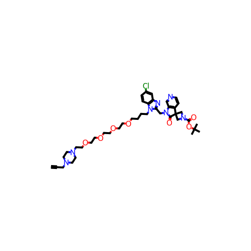 C#CCN1CCN(CCOCCOCCOCCOCCCCn2c(CN3C(=O)C4(CN(C(=O)OC(C)(C)C)C4)c4ccncc43)nc3cc(Cl)ccc32)CC1